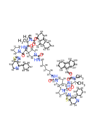 C[C@@H](C(=O)N[C@H](C(=O)N1CCC[C@H]1c1nc2c(-c3ccccc3)nccc2s1)C1CCN(C(=O)NCCCCCCNC(=O)N2CCC([C@H](NC(=O)[C@H](C)N(C)C(=O)OCC3c4ccccc4-c4ccccc43)C(=O)N3CCC[C@H]3c3nc4c(-c5ccccc5)nccc4s3)CC2)CC1)N(C)C(=O)OCC1c2ccccc2-c2ccccc21